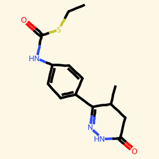 CCSC(=O)Nc1ccc(C2=NNC(=O)CC2C)cc1